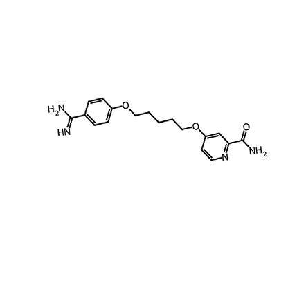 N=C(N)c1ccc(OCCCCCOc2ccnc(C(N)=O)c2)cc1